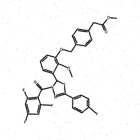 COC(=O)Cc1ccc(COc2cccc(C3SC(c4ccc(F)cc4)=NN3C(=O)c3c(F)cc(F)cc3F)c2OC)cc1